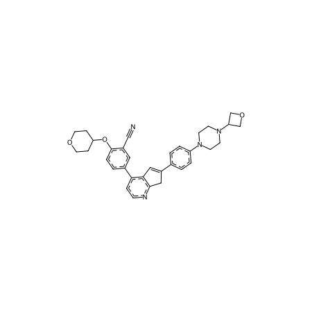 N#Cc1cc(-c2ccnc3c2C=C(c2ccc(N4CCN(C5COC5)CC4)cc2)C3)ccc1OC1CCOCC1